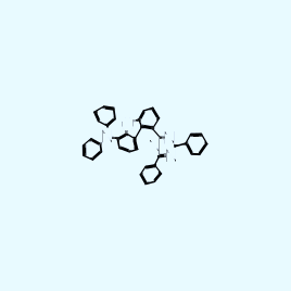 c1ccc(-c2nc(-c3ccccc3)nc(-c3cccc4oc5c(N(c6ccccc6)c6ccccc6)cccc5c34)n2)cc1